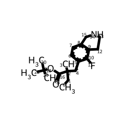 CCC(C)(Cc1ccc2c(c1F)CCNC2)C(=O)OC(C)(C)C